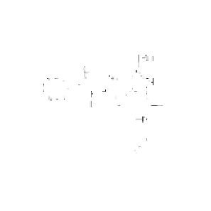 CC(C)(C)n1nc(C(=O)NCC2CC2)c2sc(NC(=O)c3ccccc3)nc21